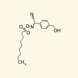 CCCCCCCCS(=O)(=O)ON=C(C#N)c1ccc(CO)cc1